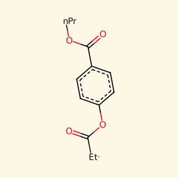 C[CH]C(=O)Oc1ccc(C(=O)OCCC)cc1